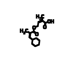 CC(=CCOC(=O)C(C)=CC1CCCCC1)C(=O)O